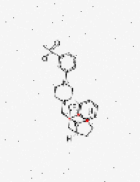 CS(=O)(=O)c1cccc(N2CCN(C[C@H]3C[C@H]4CC[C@@H](C3)N4CC(F)(F)F)[C@@H](c3ccccc3)C2)c1